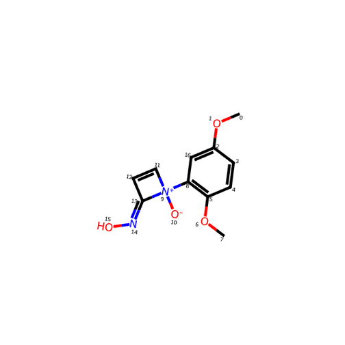 COc1ccc(OC)c([N+]2([O-])C=CC2=NO)c1